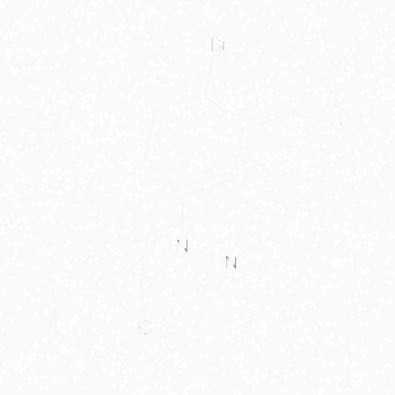 Brc1ccc2c(cnn2C2CCCCO2)c1C1CC1